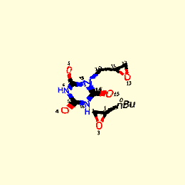 CCCCC1CO1.O=c1[nH]c(=O)n(CC2CO2)c(=O)[nH]1